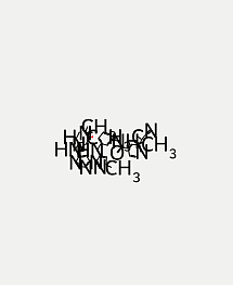 Cc1cc(Nc2cc(NC(=O)c3ccnc(C(C)(C)C#N)c3)ccc2C)n(-c2cc(NN3CCN(C)CC3)ncn2)n1